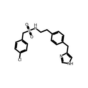 O=S(=O)(Cc1ccc(Cl)cc1)NCCc1ccc(Cc2c[nH]cn2)cc1